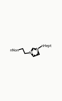 CCCCCCCCCCC[n+]1ccn(CCCCCCC)c1